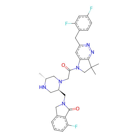 C[C@@H]1CN(CC(=O)N2CC(C)(C)c3nnc(Cc4ccc(F)cc4F)cc32)[C@@H](CN2Cc3cccc(F)c3C2=O)CN1